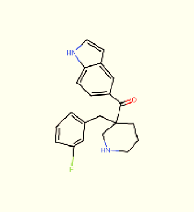 O=C(c1ccc2[nH]ccc2c1)C1(Cc2cccc(F)c2)CCCNC1